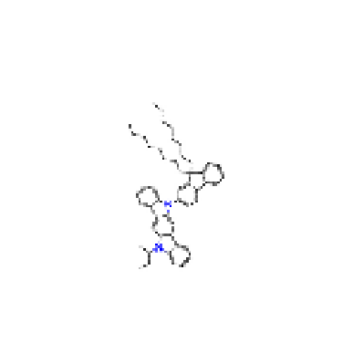 CCCCCCCCC1(CCCCCCCC)c2ccccc2-c2ccc(-n3c4ccccc4c4cc5c(cc43)c3ccccc3n5C(C)CC)cc21